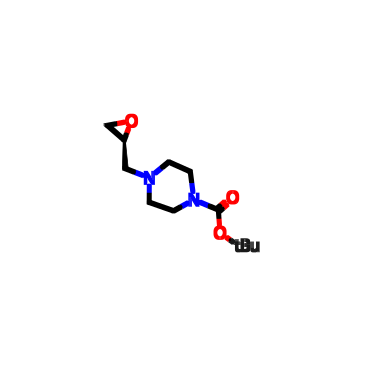 CC(C)(C)OC(=O)N1CCN(C[C@H]2CO2)CC1